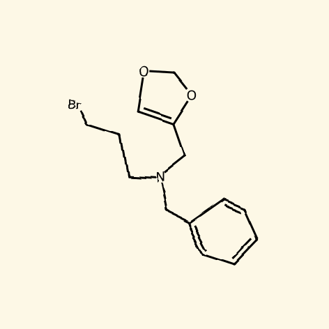 BrCCCN(CC1=COCO1)Cc1ccccc1